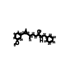 COc1cccc(C2CC2C(C)CCC(=O)NCc2ccccc2)c1